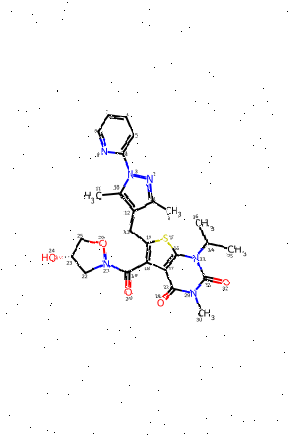 Cc1nn(-c2ccccn2)c(C)c1Cc1sc2c(c1C(=O)N1C[C@H](O)CO1)c(=O)n(C)c(=O)n2C(C)C